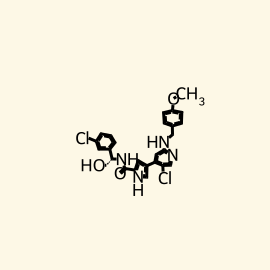 COc1ccc(CNc2cc(-c3c[nH]c(C(=O)N[C@H](CO)c4cccc(Cl)c4)c3)c(Cl)cn2)cc1